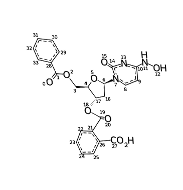 O=C(OC[C@H]1O[C@@H](n2ccc(NO)nc2=O)C[C@@H]1OC(=O)c1ccccc1C(=O)O)c1ccccc1